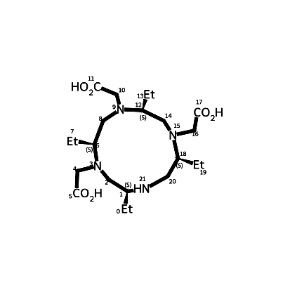 CC[C@H]1CN(CC(=O)O)[C@@H](CC)CN(CC(=O)O)[C@@H](CC)CN(CC(=O)O)[C@@H](CC)CN1